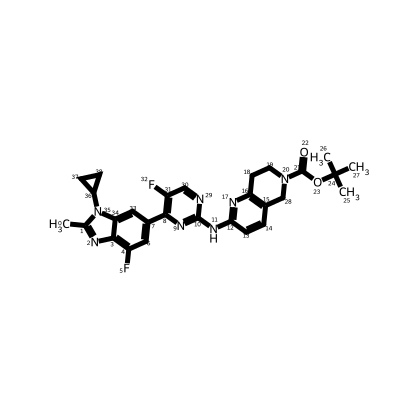 Cc1nc2c(F)cc(-c3nc(Nc4ccc5c(n4)CCN(C(=O)OC(C)(C)C)C5)ncc3F)cc2n1C1CC1